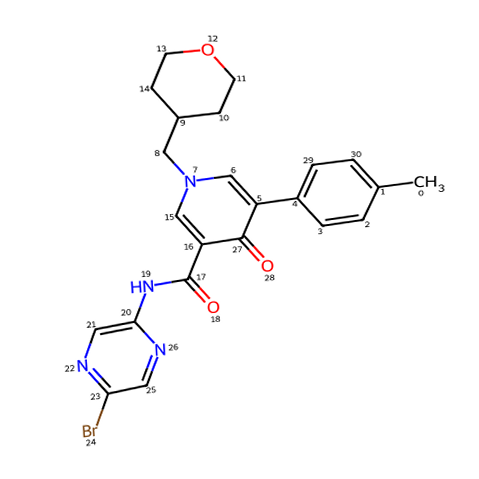 Cc1ccc(-c2cn(CC3CCOCC3)cc(C(=O)Nc3cnc(Br)cn3)c2=O)cc1